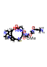 CCn1c(-c2cccnc2[C@H](C)OC)c2c3cc(ccc31)-c1csc(n1)C[C@H](NC(=O)[C@@H](COC1CN(C(=O)C#CC(C)(C)N(C)C)C1)OC)C(=O)N1CCC[C@@](O)(N1)C(=O)OCC(C)(C)C2